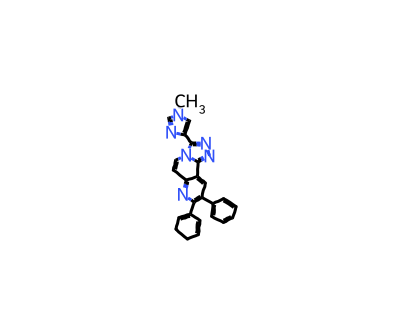 Cn1cnc(-c2nnc3c4cc(-c5ccccc5)c(C5=CCCC=C5)nc4ccn23)c1